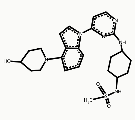 CS(=O)(=O)NC1CCC(Nc2nccc(-n3ccc4c(N5CCC(O)CC5)cccc43)n2)CC1